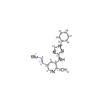 Cc1ncc(/C=C/C(C)(C)C)cc1Nc1ncn(-c2ccccc2)n1